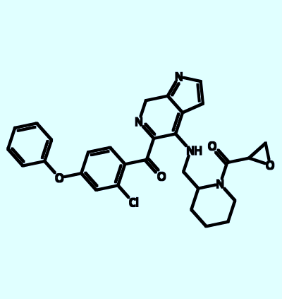 O=C(C1=NCC2=NC=CC2=C1NCC1CCCCN1C(=O)C1CO1)c1ccc(Oc2ccccc2)cc1Cl